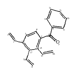 C=Cc1ccc(C(=O)c2ccccc2)c(C=C)c1C=C